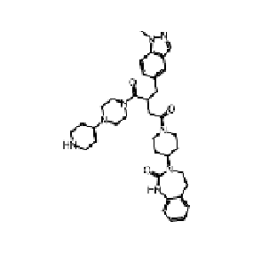 Cn1ncc2cc(CC(CC(=O)N3CCC(N4CCc5ccccc5NC4=O)CC3)C(=O)N3CCN(C4CCNCC4)CC3)ccc21